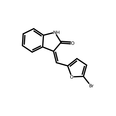 O=C1Nc2ccccc2C1=Cc1ccc(Br)o1